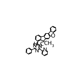 CC1(C)c2cc3oc4ccccc4c3cc2-c2cccc(-c3nc(-c4ccccc4)nc(-c4ccccn4)n3)c21